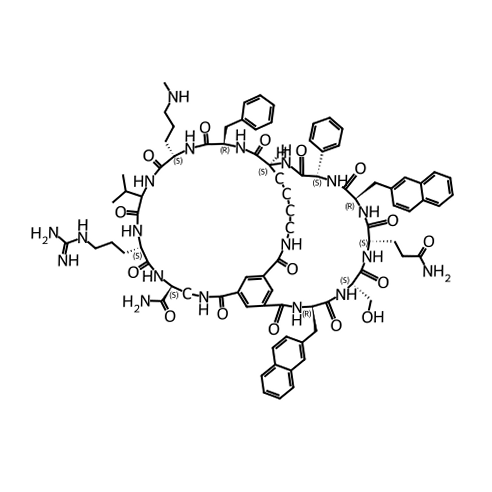 CNCCC[C@@H]1NC(=O)[C@@H](Cc2ccccc2)NC(=O)[C@@H]2CCCCNC(=O)c3cc(cc(c3)C(=O)N[C@H](Cc3ccc4ccccc4c3)C(=O)N[C@@H](CO)C(=O)N[C@@H](CCC(N)=O)C(=O)N[C@H](Cc3ccc4ccccc4c3)C(=O)N[C@@H](c3ccccc3)C(=O)N2)C(=O)NC[C@@H](C(N)=O)NC(=O)[C@H](CCCNC(=N)N)NC(=O)C(C(C)C)NC1=O